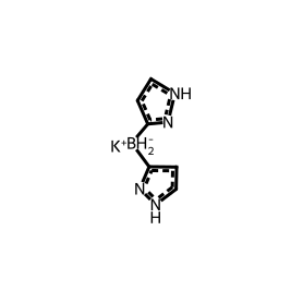 [BH2-](c1cc[nH]n1)c1cc[nH]n1.[K+]